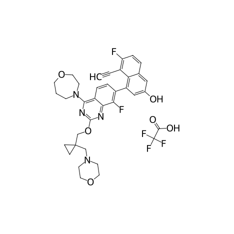 C#Cc1c(F)ccc2cc(O)cc(-c3ccc4c(N5CCCOCC5)nc(OCC5(CN6CCOCC6)CC5)nc4c3F)c12.O=C(O)C(F)(F)F